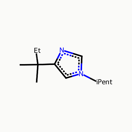 CCCC(C)n1cnc(C(C)(C)CC)c1